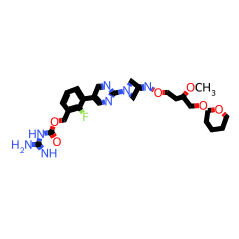 COC(CCON=C1CN(c2ncc(-c3cccc(COC(=O)NC(=N)N)c3F)cn2)C1)COC1CCCCO1